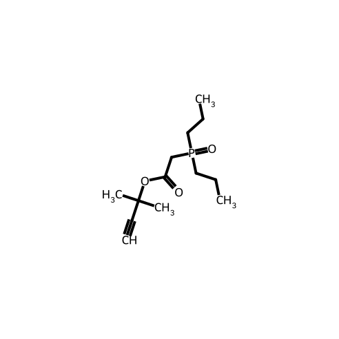 C#CC(C)(C)OC(=O)CP(=O)(CCC)CCC